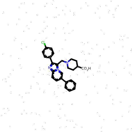 O=C(O)C1CCN(Cc2c(-c3ccc(Cl)cc3)nc3ccc(-c4ccccc4)cn23)CC1